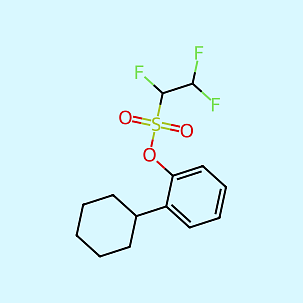 O=S(=O)(Oc1ccccc1C1CCCCC1)C(F)C(F)F